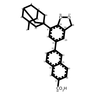 CC12CC3CC(C1)CC(c1cc(-c4ccc5cc(C(=O)O)ccc5c4)cc4c1OOC4)(C3)C2